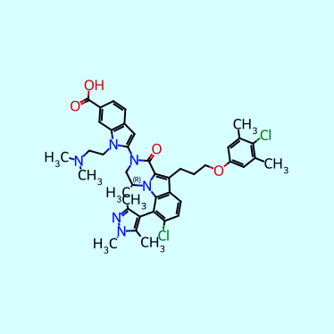 Cc1cc(OCCCc2c3n(c4c(-c5c(C)nn(C)c5C)c(Cl)ccc24)[C@H](C)CN(c2cc4ccc(C(=O)O)cc4n2CCN(C)C)C3=O)cc(C)c1Cl